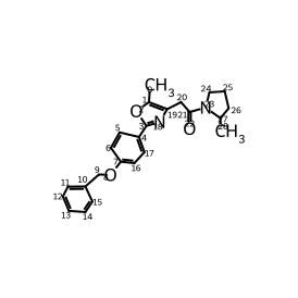 Cc1oc(-c2ccc(OCc3ccccc3)cc2)nc1CC(=O)N1CCCC1C